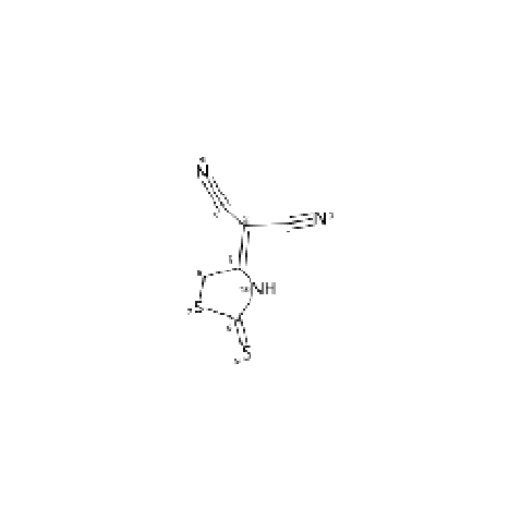 N#CC(C#N)=C1CSC(=S)N1